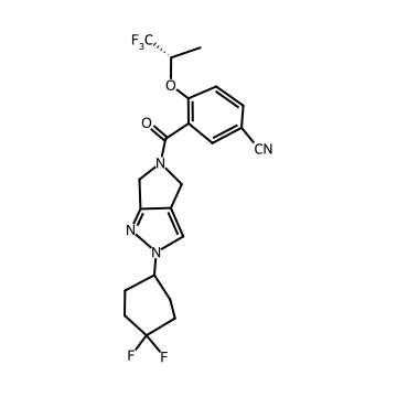 C[C@H](Oc1ccc(C#N)cc1C(=O)N1Cc2cn(C3CCC(F)(F)CC3)nc2C1)C(F)(F)F